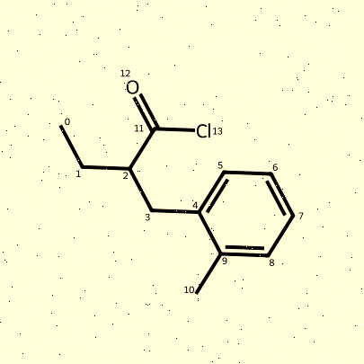 CCC(Cc1ccccc1C)C(=O)Cl